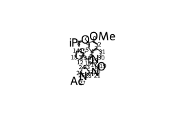 COc1cc2c(cc1OC(C)C)-c1c(-c3cccs3)cc(C(=O)N(C)[C@@H]3CCCN(C(C)=O)C3)n1CC2